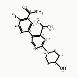 CC(=O)c1cc(-c2cnc(N3CCC(O)CC3)nc2C(C)C)ccc1F